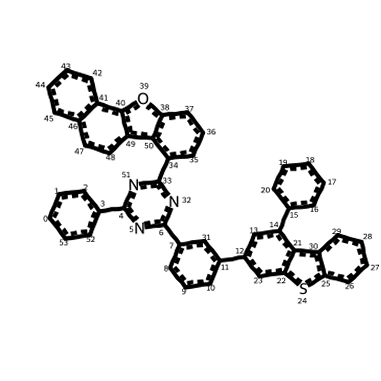 c1ccc(-c2nc(-c3cccc(-c4cc(-c5ccccc5)c5c(c4)sc4ccccc45)c3)nc(-c3cccc4oc5c6ccccc6ccc5c34)n2)cc1